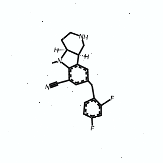 CN1c2c(C#N)cc(Cc3ccc(F)cc3F)cc2[C@@H]2CNCC[C@@H]21